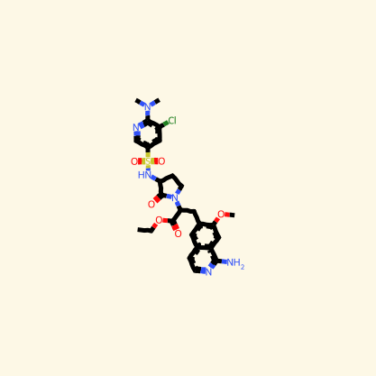 CCOC(=O)C(Cc1cc2ccnc(N)c2cc1OC)N1CCC(NS(=O)(=O)c2cnc(N(C)C)c(Cl)c2)C1=O